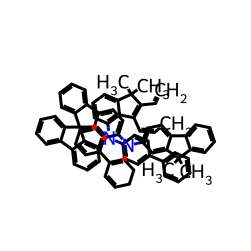 C=CC1=C(/C=C\C)c2c(N(c3ccc(-c4ccccc4)cc3)c3cccc4c3C3(c5ccccc5-c5ccc(N(C6=C(c7ccccc7)C=CCC6)c6ccc7c(c6)C(C)(C)c6ccccc6-7)cc53)c3ccccc3-4)cccc2C1(C)C